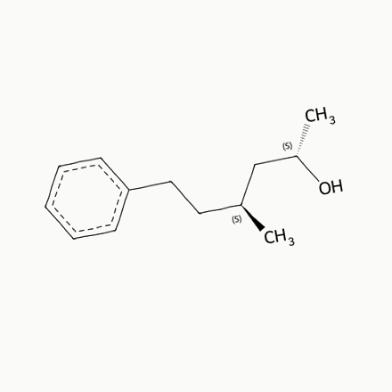 C[C@@H](CCc1ccccc1)C[C@H](C)O